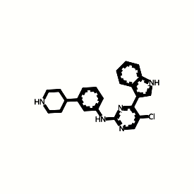 Clc1cnc(Nc2cccc(C3CCNCC3)c2)nc1-c1c[nH]c2ccccc12